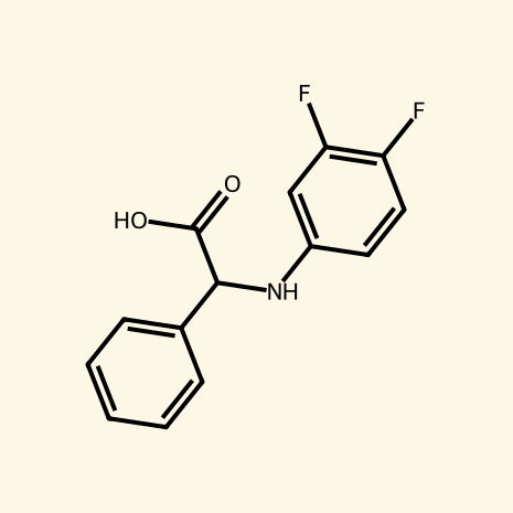 O=C(O)C(Nc1ccc(F)c(F)c1)c1ccccc1